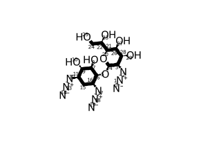 [N-]=[N+]=N[C@H]1[C@@H](O[C@H]2[C@H](O)[C@@H](O)[C@H](N=[N+]=[N-])C[C@@H]2N=[N+]=[N-])O[C@H]([C@@H](O)CO)[C@@H](O)[C@@H]1O